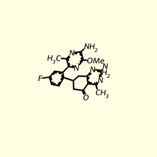 COc1nc(-c2cc(F)ccc2C2CC(=O)c3c(C)nc(N)nc3C2)c(C)nc1N